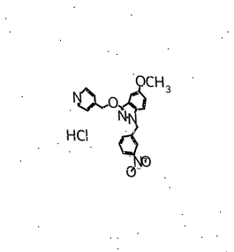 COc1ccc2c(c1)c(OCc1ccncc1)nn2Cc1cccc([N+](=O)[O-])c1.Cl